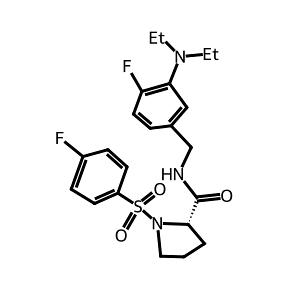 CCN(CC)c1cc(CNC(=O)[C@@H]2CCCN2S(=O)(=O)c2ccc(F)cc2)ccc1F